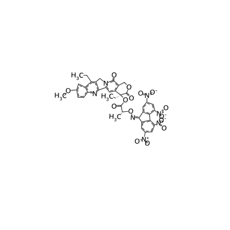 CCc1c2c(nc3ccc(OC)cc13)-c1cc3c(c(=O)n1C2)COC(=O)[C@@]3(CC)OC(=O)[C@@H](C)ON=C1c2cc([N+](=O)[O-])cc([N+](=O)[O-])c2-c2c1cc([N+](=O)[O-])cc2[N+](=O)[O-]